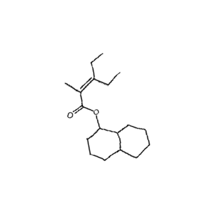 CCC(CC)=C(C)C(=O)OC1CCCC2CCCCC21